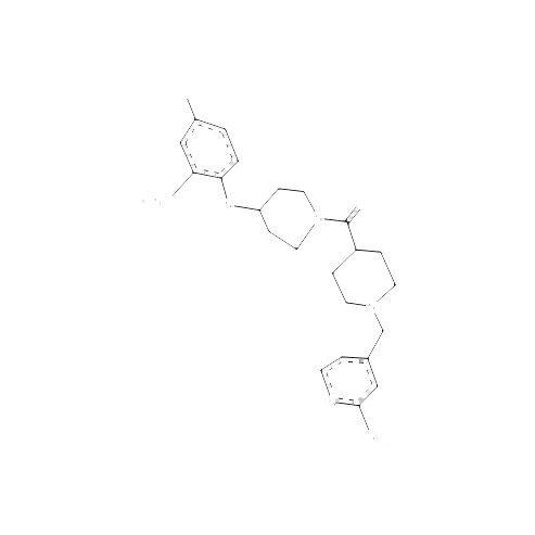 CC(=O)Nc1cc(Cl)ccc1NC1CCN(C(=O)C2CCN(Cc3ccnc(N)c3)CC2)CC1